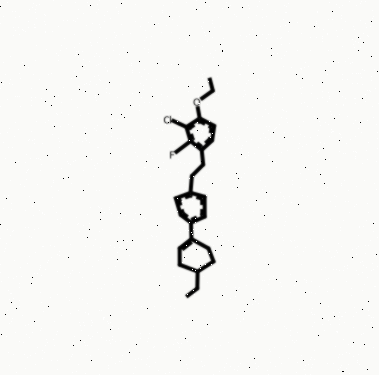 CCOc1ccc(CCc2ccc(C3=CCC(CC)CC3)cc2)c(F)c1Cl